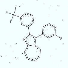 Fc1cc(-c2c3cccccc-3nc2-c2cccc(C(F)(F)F)c2)ccn1